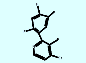 CCc1ccnc(-c2cc(C)c(F)cc2F)c1F